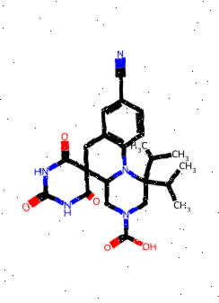 CC(C)C1(C(C)C)CN(C(=O)O)CC2N1c1ccc(C#N)cc1CC21C(=O)NC(=O)NC1=O